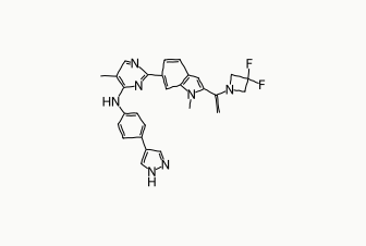 C=C(c1cc2ccc(-c3ncc(C)c(Nc4ccc(-c5cn[nH]c5)cc4)n3)cc2n1C)N1CC(F)(F)C1